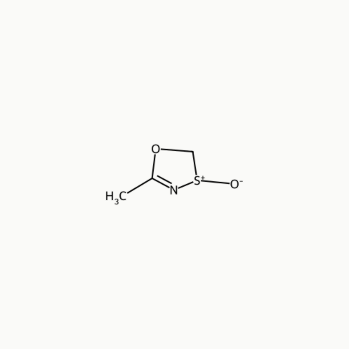 CC1=N[S+]([O-])CO1